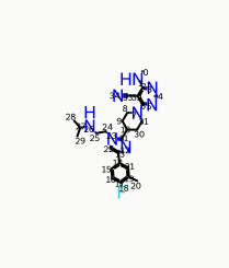 CNc1ncnc(N2CCC(c3nc(-c4ccc(F)c(C)c4)cn3CCNC(C)C)CC2)c1C#N